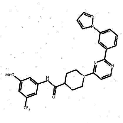 COc1cc(NC(=O)C2CCN(c3ccnc(-c4cccc(-n5cccn5)c4)n3)CC2)cc(C(F)(F)F)c1